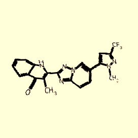 Cc1c(-c2nc3ccc(-c4cc(C(F)(F)F)nn4C)cn3n2)[nH]c2ccccc2c1=O